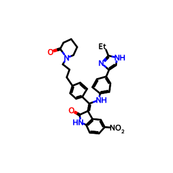 CCc1nc(-c2ccc(NC(=C3C(=O)Nc4ccc([N+](=O)[O-])cc43)c3ccc(CCCN4CCCCC4=O)cc3)cc2)c[nH]1